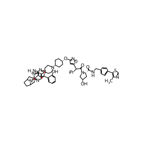 Cc1ncsc1-c1ccc(CNC(=O)[C@@H]2C[C@@H](O)CN2C(=O)C(c2cc(O[C@H]3CC[C@@H](N4CCC(c5cnc(N6C7CCC6CN(c6cc(-c8ccccc8O)nnc6N)C7)nc5)CC4)CC3)no2)C(C)C)cc1